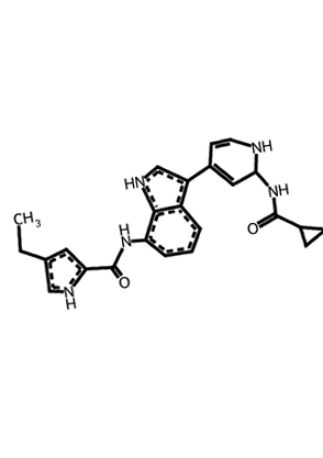 CCc1c[nH]c(C(=O)Nc2cccc3c(C4=CC(NC(=O)C5CC5)NC=C4)c[nH]c23)c1